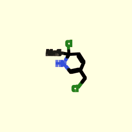 CSC1(Cl)C=CC(CCl)=CN1